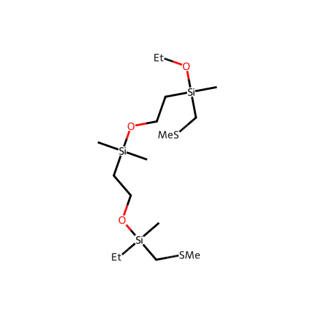 CCO[Si](C)(CCO[Si](C)(C)CCO[Si](C)(CC)CSC)CSC